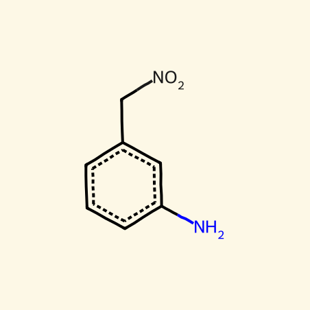 Nc1cccc(C[N+](=O)[O-])c1